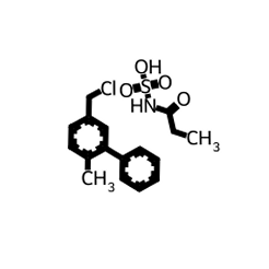 CCC(=O)NS(=O)(=O)O.Cc1ccc(CCl)cc1-c1ccccc1